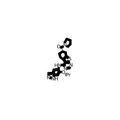 CC(C)Oc1cc2[nH]ncc2cc1Nc1ncnc2sc3c(c12)CC[C@H](C(=O)N1CCCCC1)C3